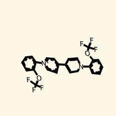 FC(F)(F)Oc1ccccc1N1C=CC(c2cc[n+](-c3ccccc3OC(F)(F)F)cc2)=CC1